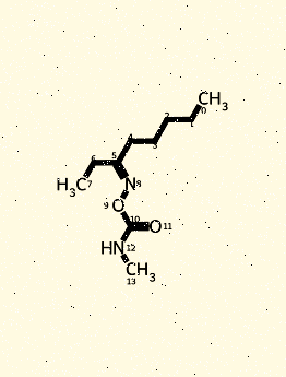 CCCCCC(CC)=NOC(=O)NC